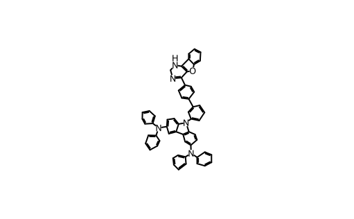 c1ccc(N(c2ccccc2)c2ccc3c(c2)c2cc(N(c4ccccc4)c4ccccc4)ccc2n3-c2cccc(-c3ccc(C4=NCNc5c4oc4ccccc54)cc3)c2)cc1